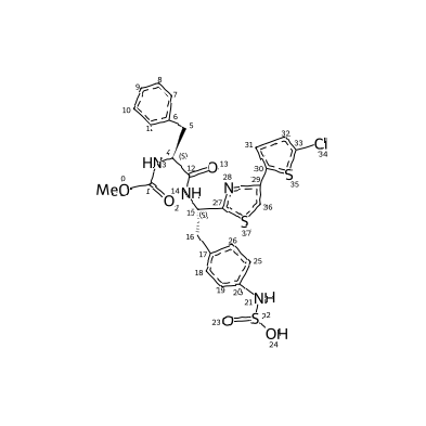 COC(=O)N[C@@H](Cc1ccccc1)C(=O)N[C@@H](Cc1ccc(NS(=O)O)cc1)c1nc(-c2ccc(Cl)s2)cs1